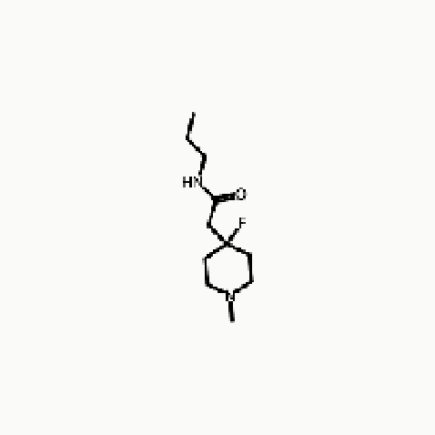 CCCNC(=O)CC1(F)CCN(C)CC1